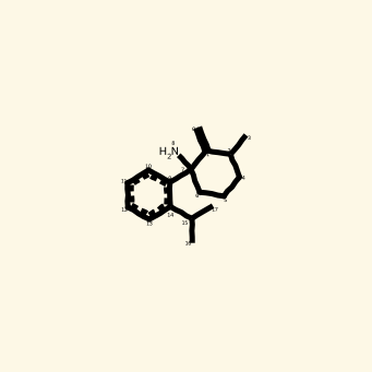 C=C1C(C)CCCC1(N)c1ccccc1C(C)C